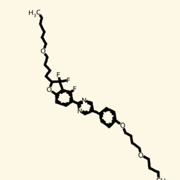 CCCCCCOCCCCC1Oc2ccc(-c3ncc(-c4ccc(OCCCCOCCCC)cc4)cn3)c(F)c2C1(F)F